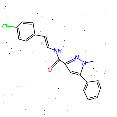 Cn1nc(C(=O)N/C=C/c2ccc(Cl)cc2)cc1-c1ccccc1